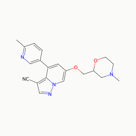 Cc1ccc(-c2cc(OCC3CN(C)CCO3)cn3ncc(C#N)c23)cn1